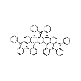 c1ccc(N2c3ccccc3N3c4ccccc4B4c5cc6c(c(N(c7ccccc7)c7ccccc7)c5Oc5ccc2c3c54)Oc2ccc3c4c2B6c2ccccc2N4c2ccccc2N3c2ccccc2)cc1